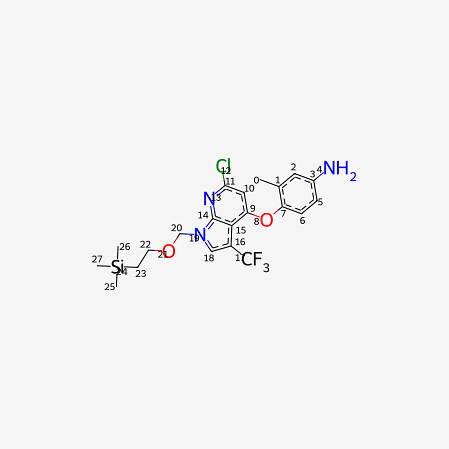 Cc1cc(N)ccc1Oc1cc(Cl)nc2c1c(C(F)(F)F)cn2COCC[Si](C)(C)C